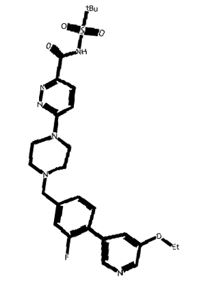 CCOc1cncc(-c2ccc(CN3CCN(c4ccc(C(=O)NS(=O)(=O)C(C)(C)C)nn4)CC3)cc2F)c1